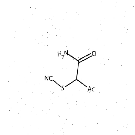 CC(=O)C(SC#N)C(N)=O